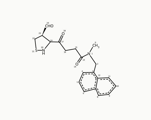 CN(Cc1cccc2ccccc12)C(=O)CCC(=O)C1NSC[C@H]1C=O